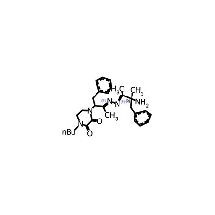 CCCCN1CCN(C(Cc2ccccc2)/C(C)=N/N=C(\C)[C@](C)(N)Cc2ccccc2)C(=O)C1=O